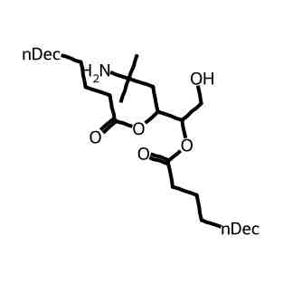 CCCCCCCCCCCCCC(=O)OC(CO)C(CC(C)(C)N)OC(=O)CCCCCCCCCCCCC